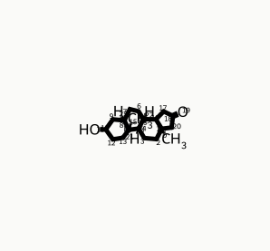 C[C@@]12CC[C@@H]3[C@H](CC[C@H]4CC(O)CC[C@]43C)C1CC(=O)C2